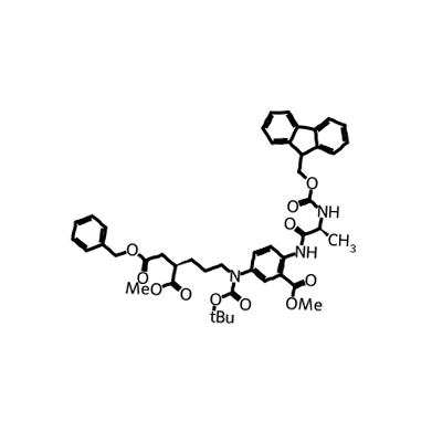 COC(=O)c1cc(N(CCC[C@H](CC(=O)OCc2ccccc2)C(=O)OC)C(=O)OC(C)(C)C)ccc1NC(=O)[C@H](C)NC(=O)OCC1c2ccccc2-c2ccccc21